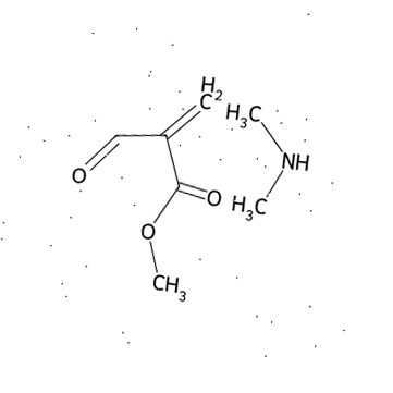 C=C(C=O)C(=O)OC.CNC